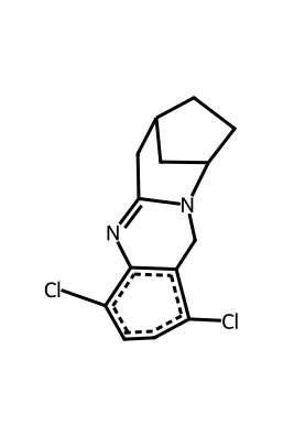 Clc1ccc(Cl)c2c1CN1C(=N2)CC2CCC1C2